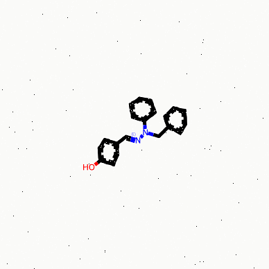 Oc1ccc(/C=N/N(Cc2ccccc2)c2ccccc2)cc1